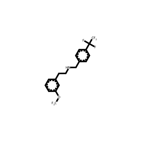 FC(F)(F)Oc1cccc(CCNCc2ccc(C(F)(F)C(F)(F)F)cc2)c1